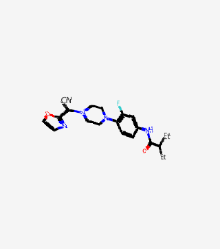 CCC(CC)C(=O)Nc1ccc(N2CCN(C(C#N)c3ncco3)CC2)c(F)c1